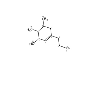 CCC(C)CCC1=CC(O)C(C)C(C)C1